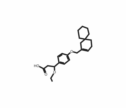 CCOC(CC(=O)O)c1ccc(OCC2=CCCC3(CCCCC3)C2)cc1